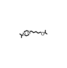 CC(C)OCCCCCN1CCN(C(C)C)CC1